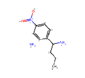 CCCC(N)c1ccc([N+](=O)[O-])cc1.N